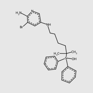 CC(C)(CCCCNc1cnc(N)c(Br)c1)[Si](O)(c1ccccc1)c1ccccc1